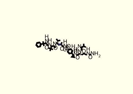 CN[C@H](C(=O)N[C@H](C(=O)N(C)[C@H](/C=C(\C)C(=O)NS(=O)(=O)c1ccc(C2(NC(=O)[C@H](CCCNC(N)=O)NC(=O)[C@@H](N)C(C)C)CC2)cc1)C(C)C)C(C)(C)C)C(C)(C)c1ccccc1